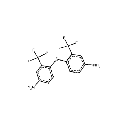 Nc1ccc(Sc2ccc(N)cc2C(F)(F)F)c(C(F)(F)F)c1